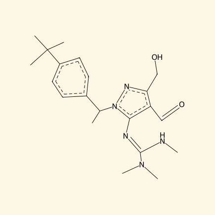 CN/C(=N\c1c(C=O)c(CO)nn1C(C)c1ccc(C(C)(C)C)cc1)N(C)C